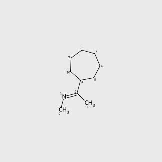 C/N=C(\C)C1CCCCCC1